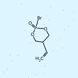 C=CC1COP(=O)(Br)OC1